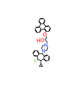 O[C@H](COc1cccc2c3ccccc3c3ccccc3c12)CN1CCN(C2c3ccccc3C(F)C(C3CC3)c3ccccc32)CC1